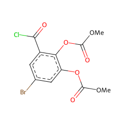 COC(=O)Oc1cc(Br)cc(C(=O)Cl)c1OC(=O)OC